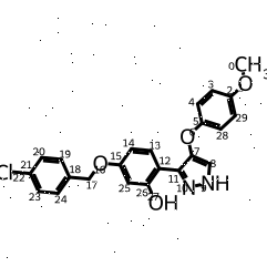 COc1ccc(Oc2c[nH]nc2-c2ccc(OCc3ccc(Cl)cc3)cc2O)cc1